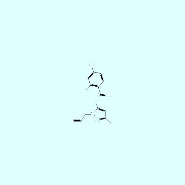 C=CCn1nc(C)cc1OC(=O)c1ccc(Cl)cc1Cl